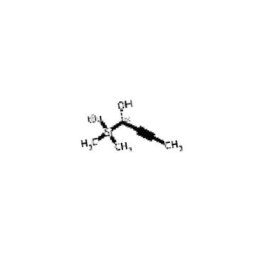 CC#C[C@@H](O)[Si](C)(C)C(C)(C)C